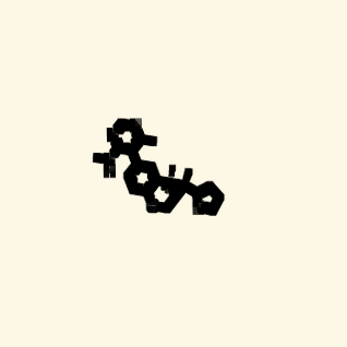 CNc1ncnc(C)c1-c1ccc2c(c1)[C@]1(C)[C@](C)(CO2)[C@@]1(C)C1=CCC=N1